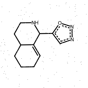 [c]1nnoc1C1NCCC2CCCC=C21